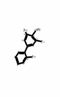 CCCc1c(F)cc(-c2ccccc2F)cc1F